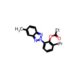 CCC(=O)Oc1c(C(C)C)cccc1-n1nc2ccc(C)cc2n1